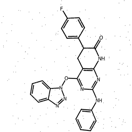 O=C1Nc2nc(Nc3ccccc3)nc(On3nnc4ccccc43)c2CC1c1ccc(F)cc1